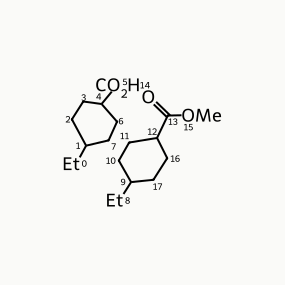 CCC1CCC(C(=O)O)CC1.CCC1CCC(C(=O)OC)CC1